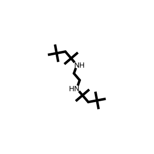 CC(C)(C)CC(C)(C)NCCNC(C)(C)CC(C)(C)C